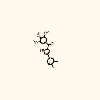 COc1cc(C(=O)c2cc(-c3ccc(C)c(C)c3)c[nH]2)cc(OC)c1OC